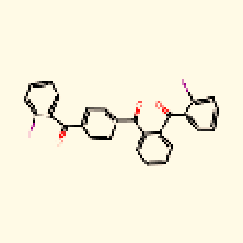 O=C(c1ccc(C(=O)c2ccccc2C(=O)c2ccccc2I)cc1)c1ccccc1I